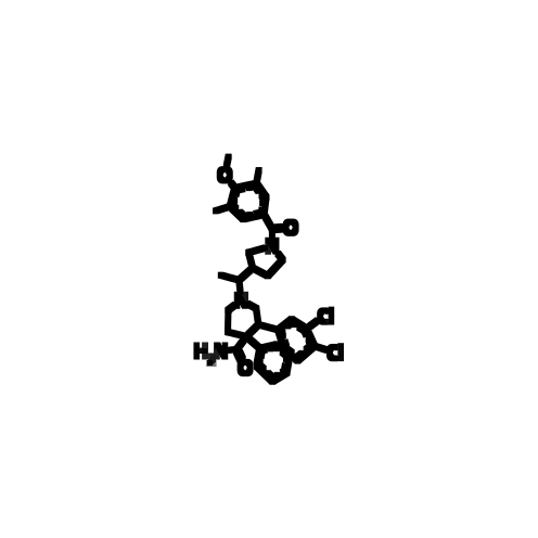 COc1c(C)cc(C(=O)N2CCC(C(C)N3CCC(C(N)=O)(c4ccccc4)C(c4ccc(Cl)c(Cl)c4)C3)C2)cc1C